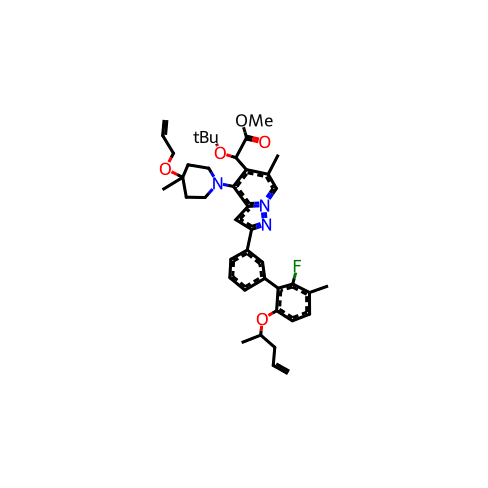 C=CCOC1(C)CCN(c2c(C(OC(C)(C)C)C(=O)OC)c(C)cn3nc(-c4cccc(-c5c(OC(C)CC=C)ccc(C)c5F)c4)cc23)CC1